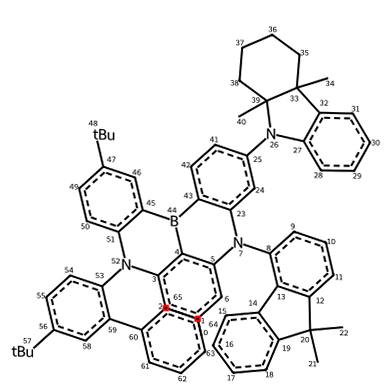 Cc1cc2c3c(c1)N(c1cccc4c1-c1ccccc1C4(C)C)c1cc(N4c5ccccc5C5(C)CCCCC45C)ccc1B3c1cc(C(C)(C)C)ccc1N2c1ccc(C(C)(C)C)cc1-c1ccccc1